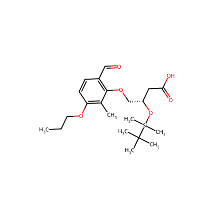 CCCOc1ccc(C=O)c(OC[C@H](CC(=O)O)O[Si](C)(C)C(C)(C)C)c1C